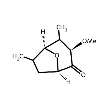 CO[C@H]1C(=O)[C@H]2CC(C)[C@H](O2)C1C